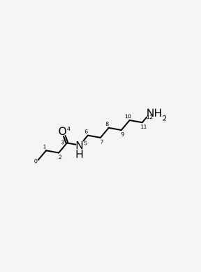 CCCC(=O)NCCCCCCN